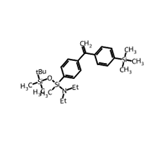 C=C(c1ccc([Si](C)(C)C)cc1)c1ccc([Si](C)(O[Si](C)(C)C(C)(C)C)N(CC)CC)cc1